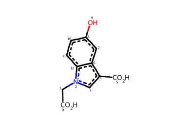 O=C(O)Cn1cc(C(=O)O)c2cc(O)ccc21